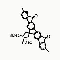 CCCCCCCCCCCCC1(CCCCCCCCCCCC)c2cc3c(cc2-c2cc4c(cc21)-c1ccc(C)cc1C4=O)C(=O)c1cc(C)ccc1-3